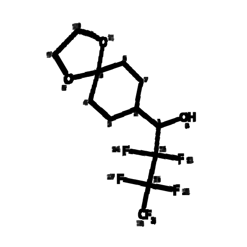 OC(C1CCC2(CC1)OCCO2)C(F)(F)C(F)(F)C(F)(F)F